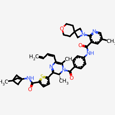 C=C/C=C\C1=C(C)N(C(=O)c2ccc(NC(=O)c3cc(C)cnc3N3CC4(CCOCC4)C3)cc2)[C@H](C)C(c2ccc(C(=O)NC34CC(C)(C3)C4)s2)=N1